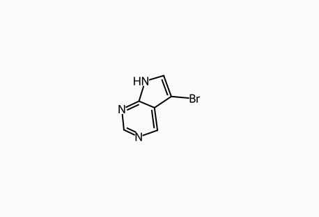 Brc1c[nH]c2ncncc12